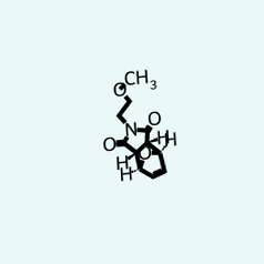 COCCN1C(=O)[C@@H]2[C@H](C1=O)[C@H]1C=C[C@@H]2O1